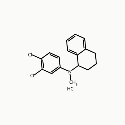 CN(c1ccc(Cl)c(Cl)c1)C1CCCc2ccccc21.Cl